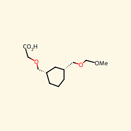 COCOC[C@@H]1CCC[C@H](COCC(=O)O)C1